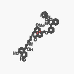 COc1cccc(CN(CCCNC[C@H](O)c2ccc(O)c3[nH]c(=O)ccc23)C(=O)c2ccc(COc3cccc([C@@H](NC(=O)O[C@H]4CN5CCC4CC5)c4ccccc4)c3)cc2)c1